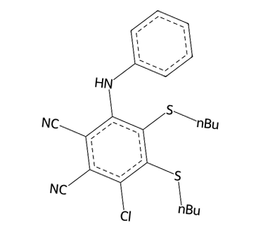 CCCCSc1c(Cl)c(C#N)c(C#N)c(Nc2ccccc2)c1SCCCC